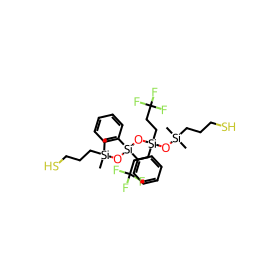 C[Si](C)(CCCS)O[Si](CCC(F)(F)F)(CCC(F)(F)F)O[Si](O[Si](C)(C)CCCS)(c1ccccc1)c1ccccc1